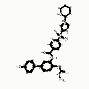 CC(C)(C)OC(=O)Nc1ccc(-c2ccc(F)cc2)cc1NC(=O)c1ccc(S(=N)(=O)c2cn(C3CCCCO3)cn2)nc1